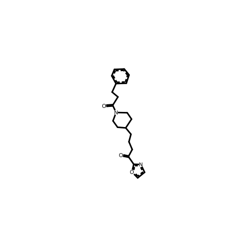 O=C(CCCC1CCN(C(=O)CCc2ccccc2)CC1)c1ncco1